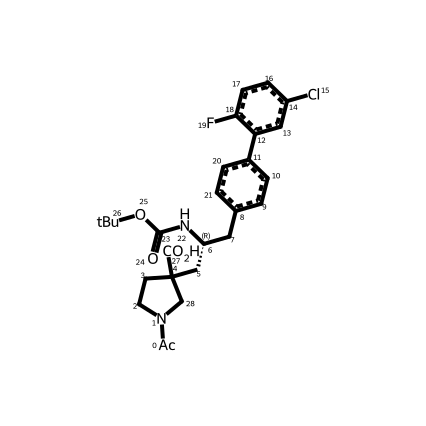 CC(=O)N1CCC(C[C@@H](Cc2ccc(-c3cc(Cl)ccc3F)cc2)NC(=O)OC(C)(C)C)(C(=O)O)C1